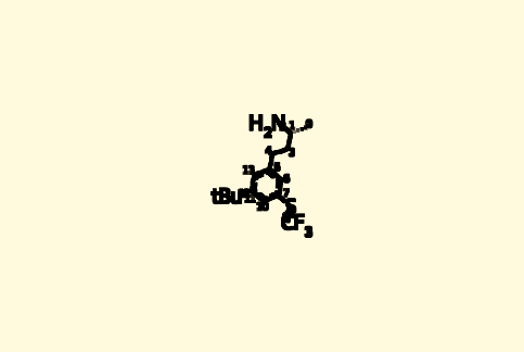 C[C@@H](N)CCc1cc(SC(F)(F)F)cc(C(C)(C)C)c1